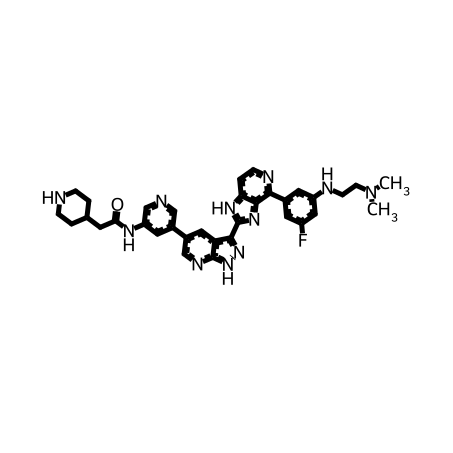 CN(C)CCNc1cc(F)cc(-c2nccc3[nH]c(-c4n[nH]c5ncc(-c6cncc(NC(=O)CC7CCNCC7)c6)cc45)nc23)c1